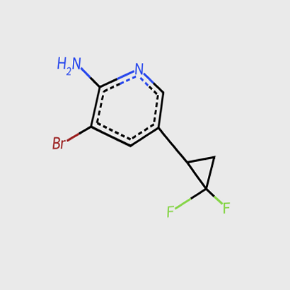 Nc1ncc(C2CC2(F)F)cc1Br